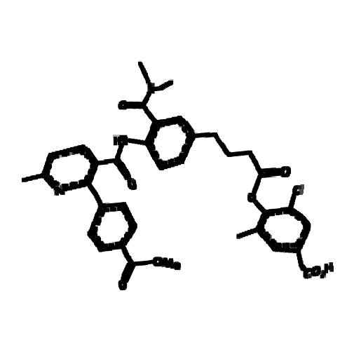 COC(=O)c1ccc(-c2nc(C)ccc2C(=O)Nc2ccc(CCCC(=O)Oc3c(C)cc(C(=O)O)cc3Cl)cc2C(=O)N(C)C)cc1